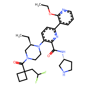 CCOc1ncccc1-c1ccc(N2CCN(C(=O)C3(CC(F)F)CCC3)C[C@H]2CC)c(C(=O)N[C@@H]2CCNC2)n1